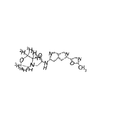 [2H]C1([2H])OC([2H])([2H])C([2H])([2H])N(CC(=O)Nc2cc3cc(-c4cnc(C)o4)ncc3cn2)C1([2H])[2H]